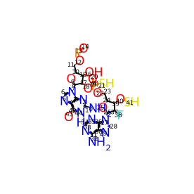 Nc1nc2c(ncn2C2OC(COP=O)C(O)C2O[P@](=O)(S)OCC2OC(n3cnc4c(N)ncnc43)C(F)C2OS)c(=O)[nH]1